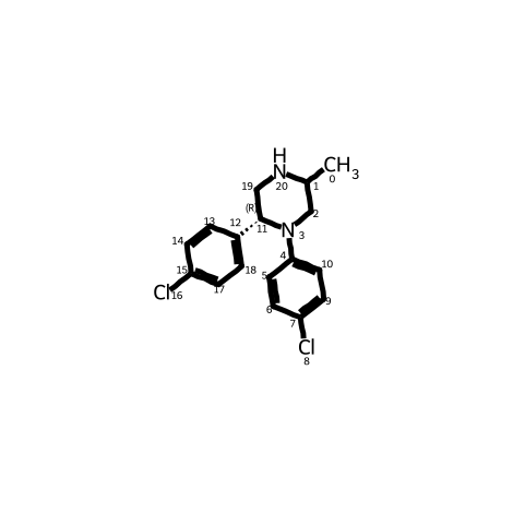 CC1CN(c2ccc(Cl)cc2)[C@H](c2ccc(Cl)cc2)CN1